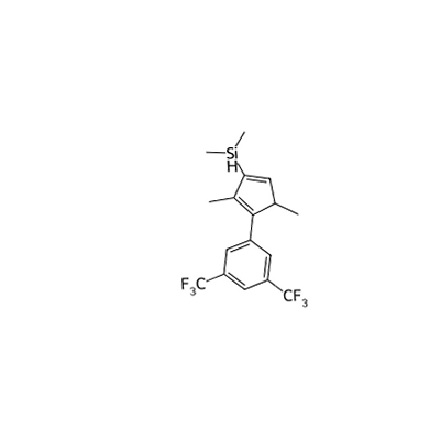 CC1=C(c2cc(C(F)(F)F)cc(C(F)(F)F)c2)C(C)C=C1[SiH](C)C